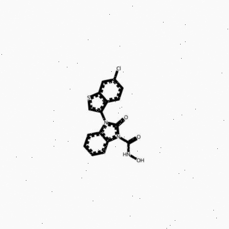 O=C(NO)n1c(=O)n(-c2csc3cc(Cl)ccc23)c2ccccc21